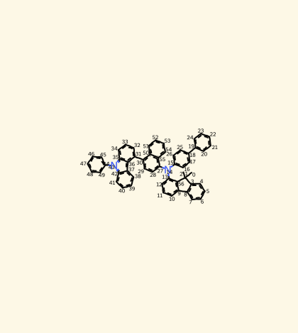 CC1(C)c2ccccc2-c2cccc(N(c3ccc(-c4ccccc4)cc3)c3ccc(-c4cccc5c4c4ccccc4n5-c4ccccc4)c4ccccc34)c21